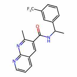 Cc1nc2ncccc2cc1C(=O)NC(C)c1cccc(C(F)(F)F)c1